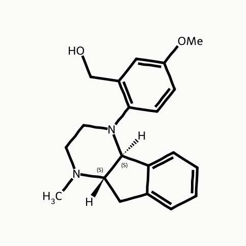 COc1ccc(N2CCN(C)[C@H]3Cc4ccccc4[C@@H]32)c(CO)c1